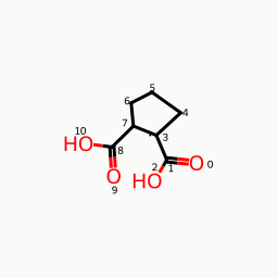 O=C(O)[C]1CCCC1C(=O)O